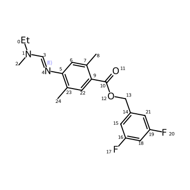 CCN(C)/C=N/c1cc(C)c(C(=O)OCc2cc(F)cc(F)c2)cc1C